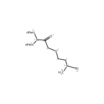 CCCCCN(CCCCC)C(=O)COCCN(C)CC